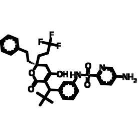 CC(C)(C)C(C1=C(O)C[C@](CCc2ccccc2)(CCC(F)(F)F)OC1=O)c1cccc(NS(=O)(=O)c2ccc(N)cn2)c1